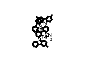 Cc1ccc2c(c1)c1ccccc1n2-c1ccc(C#N)c(-c2c(C#N)ccc(-n3c4ccccc4c4cc(C)ccc43)c2-n2c3ccccc3c3cc(C)ccc32)c1N